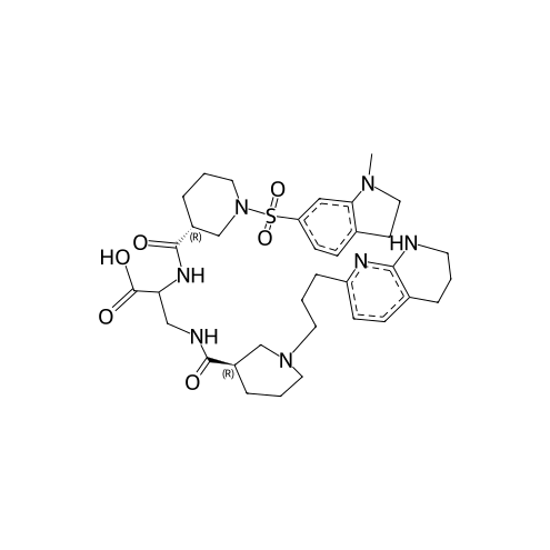 CN1CCc2ccc(S(=O)(=O)N3CCC[C@@H](C(=O)NC(CNC(=O)[C@@H]4CCCN(CCCc5ccc6c(n5)NCCC6)C4)C(=O)O)C3)cc21